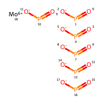 O=P[O-].O=P[O-].O=P[O-].O=P[O-].O=P[O-].O=P[O-].[Mo+6]